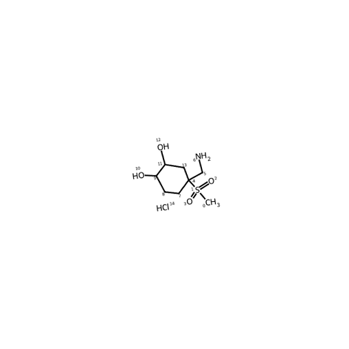 CS(=O)(=O)C1(CN)CCC(O)C(O)C1.Cl